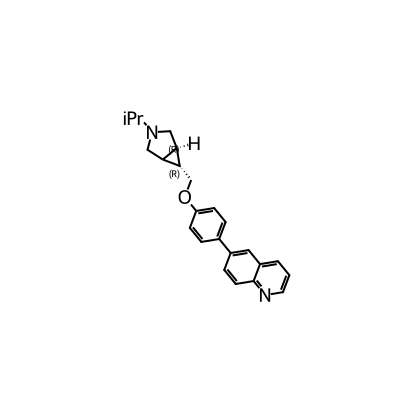 CC(C)N1CC2[C@@H](COc3ccc(-c4ccc5ncccc5c4)cc3)[C@@H]2C1